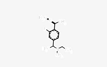 C=C=C(C)c1ccc(C(C)N(C)CC)cc1F